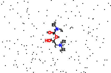 CCN(CC)CC(O)OC(=O)N(C)CC